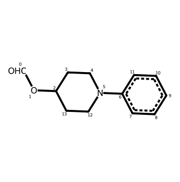 O=COC1CCN(c2ccccc2)CC1